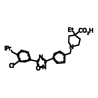 CCC1(C(=O)O)CCN(Cc2ccc(-c3noc(-c4ccc(CC(C)C)c(Cl)c4)n3)cc2)CC1